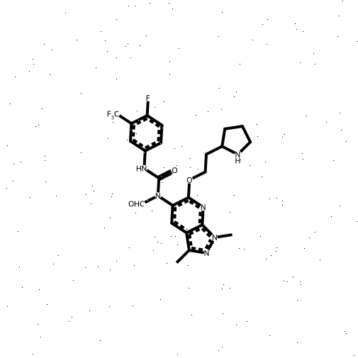 Cc1nn(C)c2nc(OCCC3CCCN3)c(N(C=O)C(=O)Nc3ccc(F)c(C(F)(F)F)c3)cc12